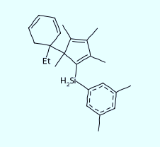 CCC1(C2(C)C(C)=C(C)C(C)=C2[SiH2]c2cc(C)cc(C)c2)C=CC=CC1